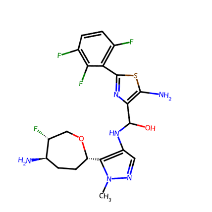 Cn1ncc(NC(O)c2nc(-c3c(F)ccc(F)c3F)sc2N)c1[C@@H]1CC[C@@H](N)[C@H](F)CO1